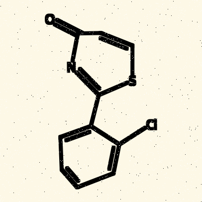 O=c1ccsc(-c2ccccc2Cl)n1